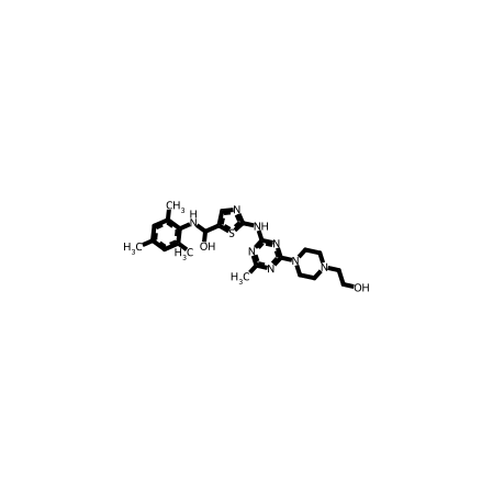 Cc1cc(C)c(NC(O)c2cnc(Nc3nc(C)nc(N4CCN(CCO)CC4)n3)s2)c(C)c1